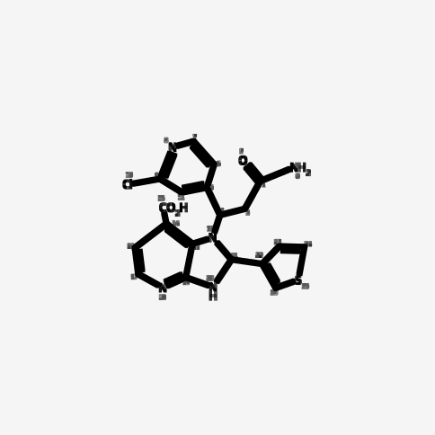 NC(=O)CC(c1ccnc(Cl)c1)N1c2c(C(=O)O)ccnc2NC1c1ccsc1